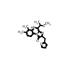 CSC(C)c1[nH]c2c(C)c(C)ccc2n2c(=O)c(Cc3ccco3)nc1-2